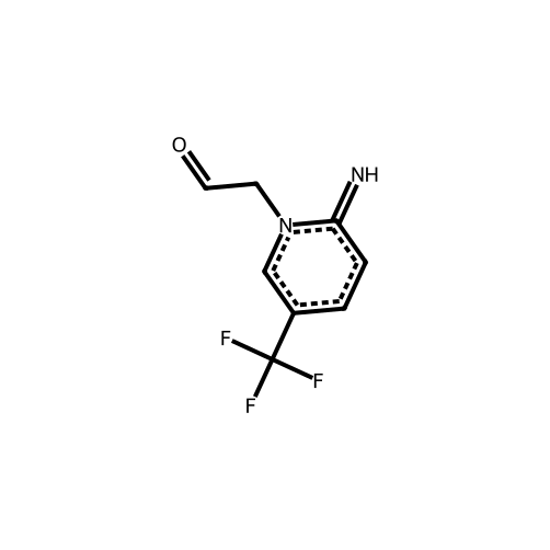 N=c1ccc(C(F)(F)F)cn1CC=O